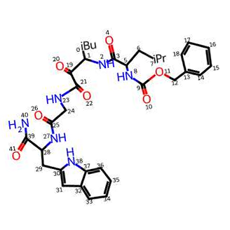 CCC(C)C(NC(=O)C(CC(C)C)NC(=O)OCc1ccccc1)C(=O)C(=O)NCC(=O)NC(Cc1cc2ccccc2[nH]1)C(N)=O